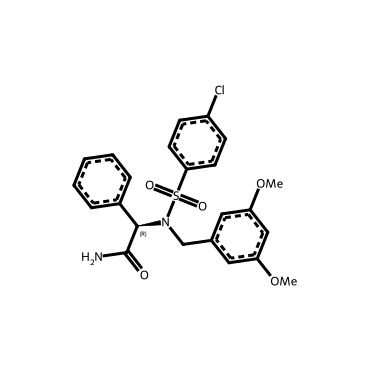 COc1cc(CN([C@@H](C(N)=O)c2ccccc2)S(=O)(=O)c2ccc(Cl)cc2)cc(OC)c1